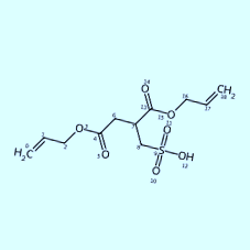 C=CCOC(=O)CC(CS(=O)(=O)O)C(=O)OCC=C